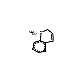 C1=Cc2ccccc2OC1.[Cu].[Mo]